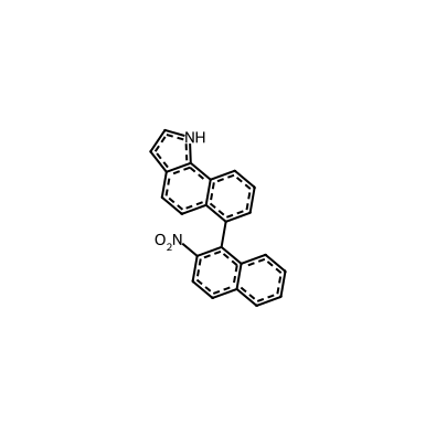 O=[N+]([O-])c1ccc2ccccc2c1-c1cccc2c1ccc1cc[nH]c12